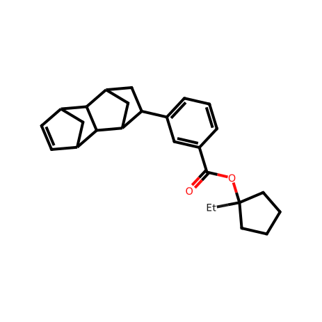 CCC1(OC(=O)c2cccc(C3CC4CC3C3C5C=CC(C5)C43)c2)CCCC1